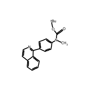 CN(C(=O)OC(C)(C)C)c1ccc(-c2nccc3ccccc23)cc1